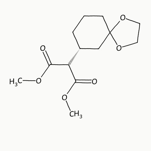 COC(=O)C(C(=O)OC)[C@@H]1CCCC2(C1)OCCO2